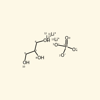 O=P([O-])([O-])[O-].OCC(O)CO.[Li+].[Li+].[Li+]